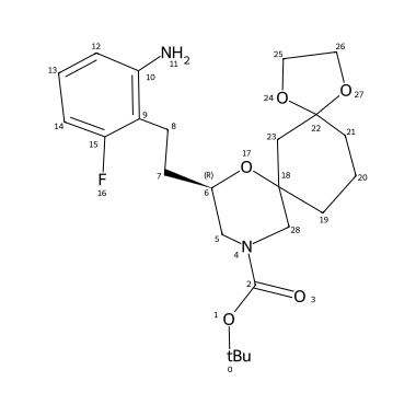 CC(C)(C)OC(=O)N1C[C@@H](CCc2c(N)cccc2F)OC2(CCCC3(C2)OCCO3)C1